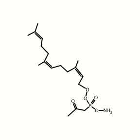 CC(=O)CP(=O)(ON)OOCC=C(C)CCC=C(C)CCC=C(C)C